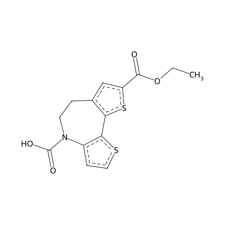 CCOC(=O)c1cc2c(s1)-c1sccc1N(C(=O)O)CC2